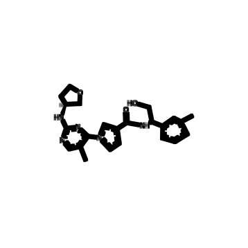 Cc1cccc(C(CO)NC(=O)c2ccn(-c3nc(N[C@H]4CCOC4)ncc3C)c2)c1